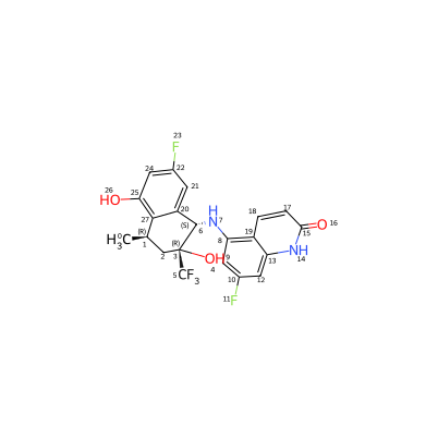 C[C@@H]1C[C@](O)(C(F)(F)F)[C@@H](Nc2cc(F)cc3[nH]c(=O)ccc23)c2cc(F)cc(O)c21